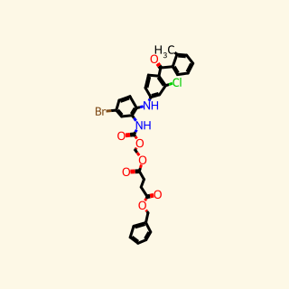 Cc1ccccc1C(=O)c1ccc(Nc2ccc(Br)cc2NC(=O)OCOC(=O)CCC(=O)OCc2ccccc2)cc1Cl